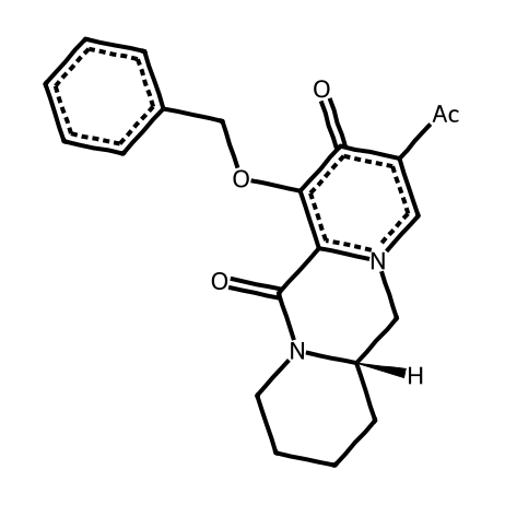 CC(=O)c1cn2c(c(OCc3ccccc3)c1=O)C(=O)N1CCCC[C@H]1C2